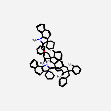 C=C(/C=C/C=C1/N(C)c2c(ccc3ccccc23)C12CCCCC2)C(Cc1ccccc1)(Cc1ccc(CC(Cc2ccccc2)(C(=C)/C=C/C=C2/N(C)c3c(ccc4ccccc34)C23CCCCC3)c2ccccc2C)cc1)c1ccccc1C